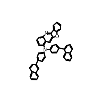 c1ccc2cc(-c3ccc(N(c4ccc(-c5cccc6ccccc56)cc4)c4cccc5nc6c(cc45)oc4ccccc46)cc3)ccc2c1